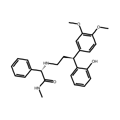 CNC(=O)[C@@H](NCC[C@@H](c1ccc(OC)c(OC)c1)c1ccccc1O)c1ccccc1